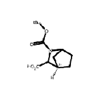 CC(C)(C)OC(=O)N1C2CC[C@H](C2)C1C(=O)O